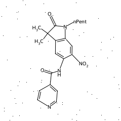 CCCCCN1C(=O)C(C)(C)c2cc(NC(=O)c3ccncc3)c([N+](=O)[O-])cc21